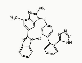 CCCCc1nc2c(C)cc(-c3nc4ccccc4n3CC)cc2n1Cc1ccc(-c2ccccc2-c2nnn[nH]2)cc1